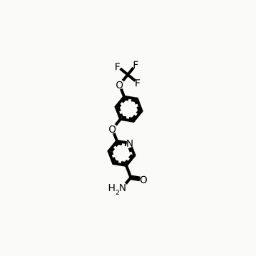 NC(=O)c1ccc(Oc2cccc(OC(F)(F)F)c2)nc1